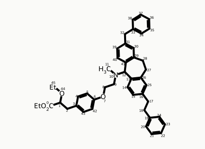 CCOC(=O)C(Cc1ccc(OCCN(C)C2c3ccc(CCc4ccccc4)cc3CCc3cc(Cc4ccccc4)ccc32)cc1)OCC